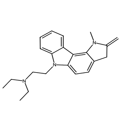 C=C1Cc2ccc3c(c2N1C)c1ccccc1n3CCN(CC)CC